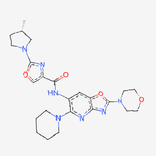 C[C@H]1CCN(c2nc(C(=O)Nc3cc4oc(N5CCOCC5)nc4nc3N3CCCCC3)co2)C1